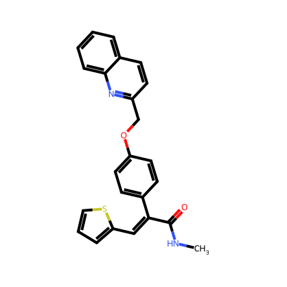 CNC(=O)/C(=C/c1cccs1)c1ccc(OCc2ccc3ccccc3n2)cc1